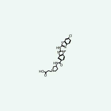 Cn1c(Nc2nc3ccc(Cl)cc3s2)nc2cc(C(=O)NC3CCN(CCC(=O)O)C3)ccc21